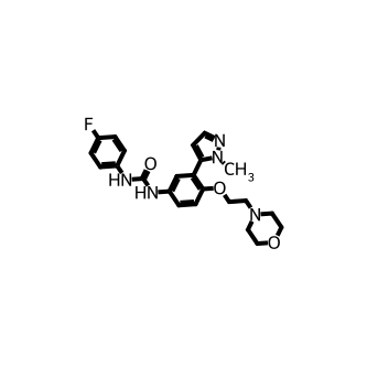 Cn1nccc1-c1cc(NC(=O)Nc2ccc(F)cc2)ccc1OCCN1CCOCC1